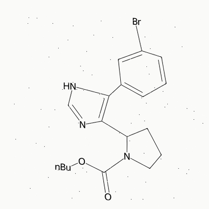 CCCCOC(=O)N1CCCC1c1nc[nH]c1-c1cccc(Br)c1